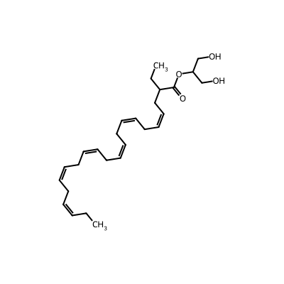 CC/C=C\C/C=C\C/C=C\C/C=C\C/C=C\C/C=C\CC(CC)C(=O)OC(CO)CO